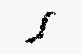 CC(C)(c1ccc(OCc2nc(N3CC4(CC(=O)C4)C3)ncc2F)cc1)c1ccc(OC2CC(N)C2)cc1